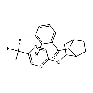 O=C(c1cccc(F)c1Br)N1C2CCC1C(Oc1cnc(C(F)(F)F)cn1)C2